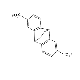 O=C(O)c1ccc2c(c1)C1CCC2c2cc(C(=O)O)ccc21